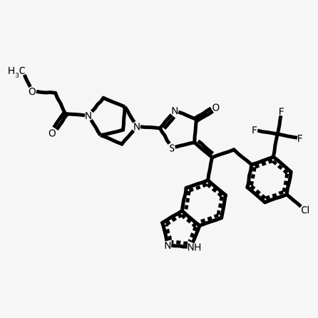 COCC(=O)N1CC2CC1CN2C1=NC(=O)C(=C(Cc2ccc(Cl)cc2C(F)(F)F)c2ccc3[nH]ncc3c2)S1